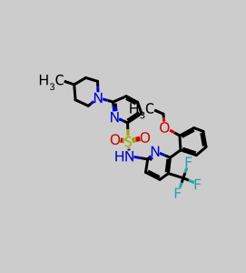 CCOc1ccccc1-c1nc(NS(=O)(=O)c2cccc(N3CCC(C)CC3)n2)ccc1C(F)(F)F